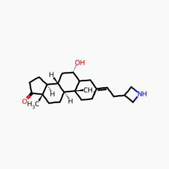 C[C@]12CC/C(=C\CC3CNC3)CC1[C@@H](O)C[C@@H]1[C@@H]2CC[C@]2(C)C(=O)CC[C@@H]12